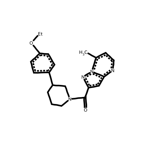 CCOc1ccc(C2CCCN(C(=O)c3cc4nccc(C)n4n3)C2)cc1